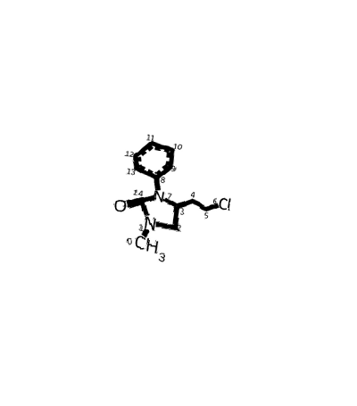 CN1CC(CCCl)N(c2ccccc2)C1=O